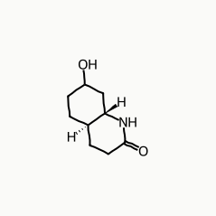 O=C1CC[C@H]2CCC(O)C[C@@H]2N1